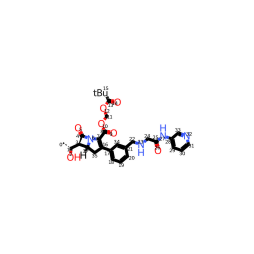 C[C@@H](O)[C@H]1C(=O)N2C(C(=O)OCOC(=O)C(C)(C)C)=C(c3cccc(CNCC(=O)Nc4cccnc4)c3)C[C@H]12